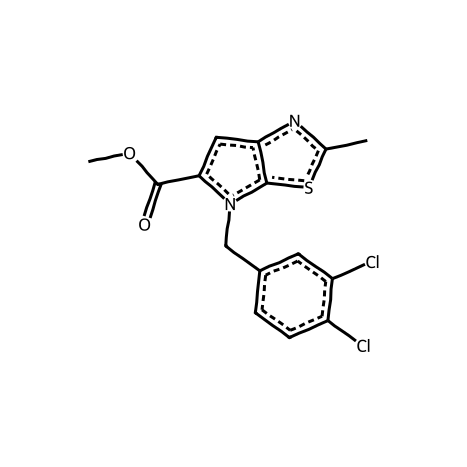 COC(=O)c1cc2nc(C)sc2n1Cc1ccc(Cl)c(Cl)c1